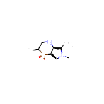 CC(C)C1CNc2c(cn(C)c2C(=O)O)S1(=O)=O